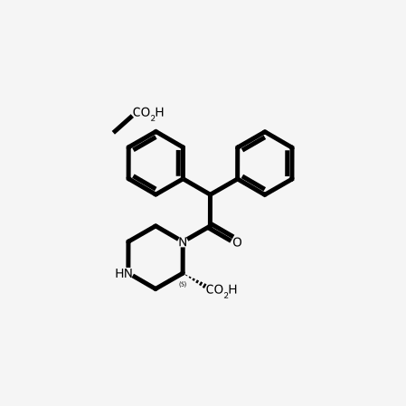 CC(=O)O.O=C(O)[C@@H]1CNCCN1C(=O)C(c1ccccc1)c1ccccc1